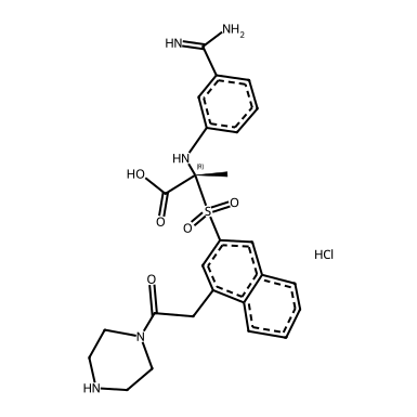 C[C@](Nc1cccc(C(=N)N)c1)(C(=O)O)S(=O)(=O)c1cc(CC(=O)N2CCNCC2)c2ccccc2c1.Cl